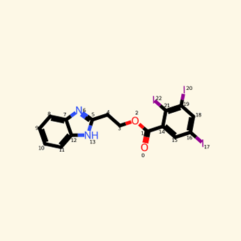 O=C(OCCc1nc2ccccc2[nH]1)c1cc(I)cc(I)c1I